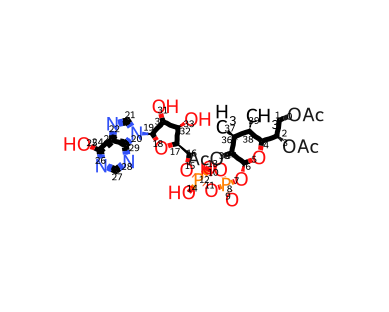 CC(=O)OC[C@@H](OC(C)=O)C1O[C@@H](OP(=O)(O)OP(=O)(O)OC[C@H]2O[C@@H](n3cnc4c(O)ncnc43)C(O)[C@H]2O)C(OC(C)=O)[C@@H](C)[C@@H]1C